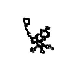 Cn1c(=O)c2c(nc(CCCN3CCCC3)n2Cc2cccc(Br)c2)n(C)c1=O